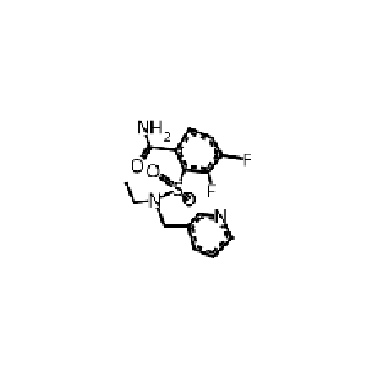 CCN(Cc1cccnc1)S(=O)(=O)c1c(C(N)=O)ccc(F)c1F